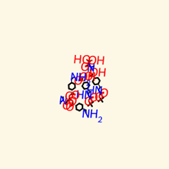 CC(C)(C)OC(=O)NC[C@H]1CC[C@H](C(=O)O)CC1.CC(C)(C)OC(=O)NC[C@H]1CC[C@H](C(=O)O)CC1.CN(C)C(=O)C(O)O.CN(C)C(=O)C(OC(=O)[C@H]1CC[C@H](CN)CC1)OC(=O)[C@H]1CC[C@H](CN)CC1